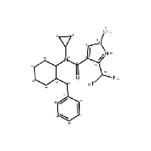 Cn1cc(C(=O)N(C2CC2)C2CCCCC2Cc2ccccc2)c(C(F)F)n1